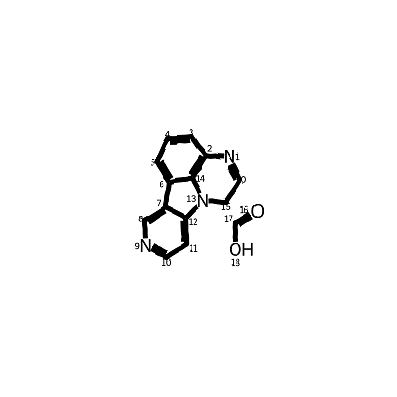 C1=Nc2cccc3c4cnccc4n(c23)C1.O=CO